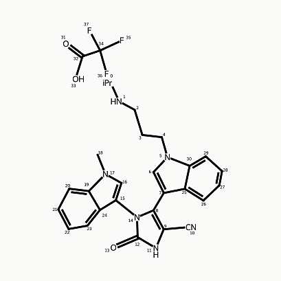 CC(C)NCCCn1cc(-c2c(C#N)[nH]c(=O)n2-c2cn(C)c3ccccc23)c2ccccc21.O=C(O)C(F)(F)F